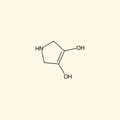 OC1=C(O)CNC1